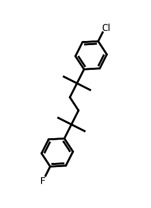 CC(C)(CCC(C)(C)c1ccc(Cl)cc1)c1ccc(F)cc1